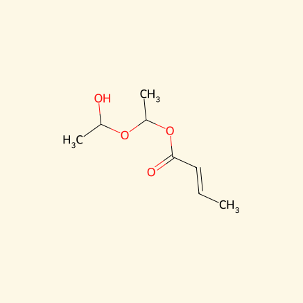 CC=CC(=O)OC(C)OC(C)O